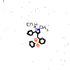 Cc1cc(Cc2ccccc2S(=O)(=O)c2ccccc2)c(-c2ccccc2)n1CC(=O)O